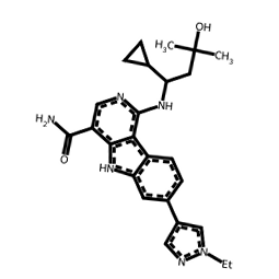 CCn1cc(-c2ccc3c(c2)[nH]c2c(C(N)=O)cnc(NC(CC(C)(C)O)C4CC4)c23)cn1